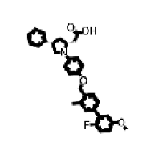 COc1ccc(F)c(-c2ccc(COc3ccc(N4C[C@H](c5ccccc5)C[C@@H]4CC(=O)O)cc3)c(C)c2)c1